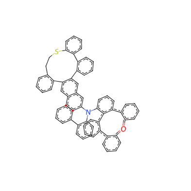 c1ccc(-c2ccccc2N(c2ccc3cc4c(cc3c2)-c2ccccc2-c2ccccc2SCCc2ccccc2-4)c2cccc3c4ccccc4oc4ccccc4c4ccccc4c23)cc1